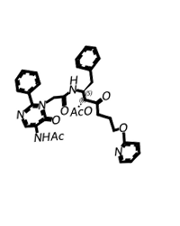 CC(=O)Nc1cnc(-c2ccccc2)n(CC(=O)N[C@@H](Cc2ccccc2)[C@@H](OC(C)=O)C(=O)CCCOc2ccccn2)c1=O